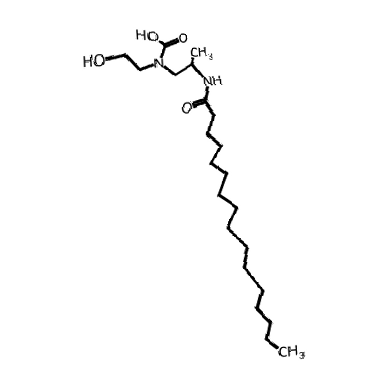 CCCCCCCCCCCCCCCC(=O)NC(C)CN(CCO)C(=O)O